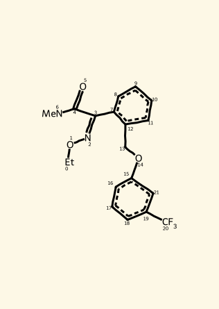 CCON=C(C(=O)NC)c1ccccc1COc1cccc(C(F)(F)F)c1